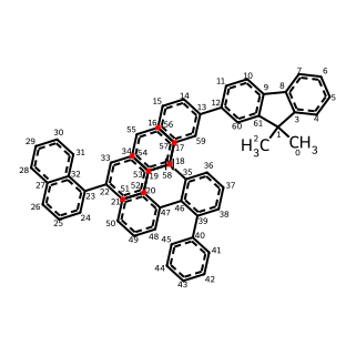 CC1(C)c2ccccc2-c2ccc(-c3cccc(N(c4ccc(-c5cccc6ccccc56)cc4)c4cccc(-c5ccccc5)c4-c4ccccc4-c4ccccc4)c3)cc21